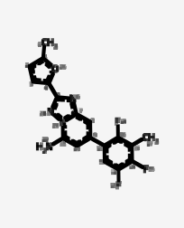 Cc1ccc(-c2nc3cc(-c4cc(F)c(F)c(C)c4F)cc(N)n3n2)o1